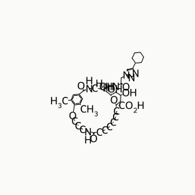 Cc1cc2cc(C)c1OCCCNC(=O)CCCCCC[C@]1(C(=O)O)C[C@H](O)[C@@H](NC(=O)Cn3cc(C4CCCCC4)nn3)C(O1)[C@H](O)[C@H](O)CNC2=O